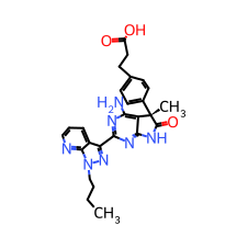 CCCCn1nc(-c2nc(N)c3c(n2)NC(=O)[C@@]3(C)c2ccc(CCC(=O)O)cc2)c2cccnc21